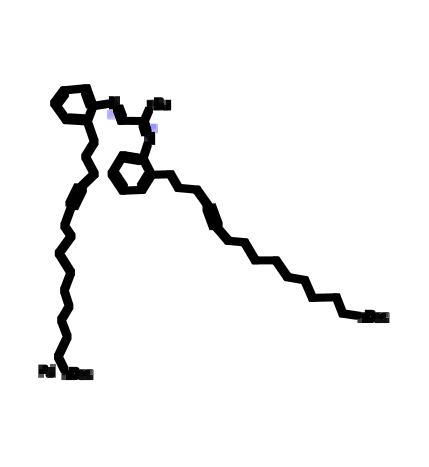 CCCCCCCCCCCCCCCCCCCC#CCCCc1ccccc1/N=C(\C=N\c1ccccc1CCCC#CCCCCCCCCCCCCCCCCCCC)CCCC.[Pd]